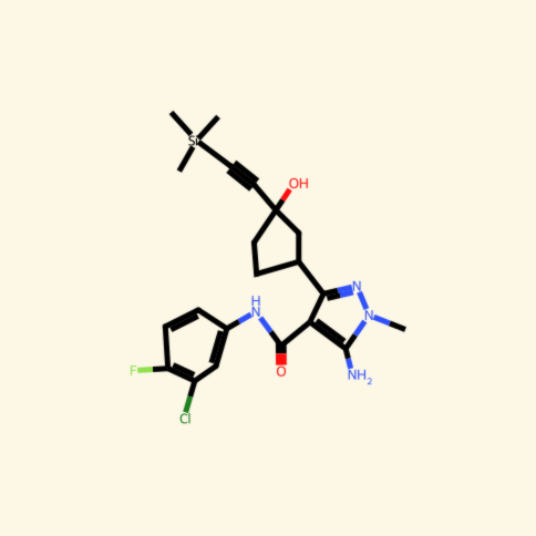 Cn1nc(C2CCC(O)(C#C[Si](C)(C)C)C2)c(C(=O)Nc2ccc(F)c(Cl)c2)c1N